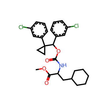 COC(=O)C(CC1CCCCC1)NC(=O)OC(c1cccc(Cl)c1)C1(c2cccc(Cl)c2)CC1